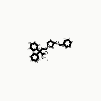 NC(=O)C(CCN1CCC(OCc2ccccc2)C1)(c1ccccc1)c1ccccc1